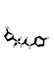 Cc1ccc(S(=O)(=O)NC(=O)Nc2ccc(Cl)cc2)s1